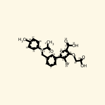 CC(=O)N(Cc1cccc(-c2sc(C(=O)O)c(OCC(=O)O)c2Br)c1)c1ccc(C)cc1